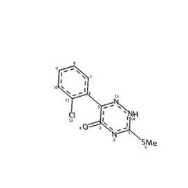 CSc1nc(=O)c(-c2ccccc2Cl)n[nH]1